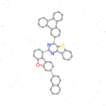 c1ccc2cc(-c3ccc4c(c3)oc3cccc(-c5nc(-c6ccc7c8ccccc8c8ccccc8c7c6)c6sc7ccccc7c6n5)c34)ccc2c1